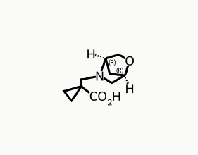 O=C(O)C1(CN2C[C@H]3C[C@@H]2CO3)CC1